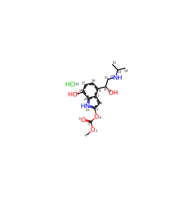 COC(=O)Oc1cc2c(C(O)CNC(C)C)ccc(O)c2[nH]1.Cl